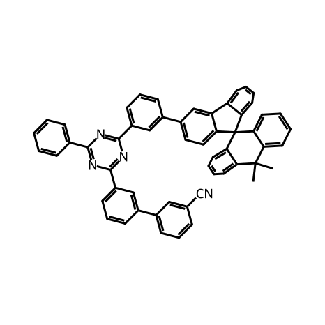 CC1(C)c2ccccc2C2(c3ccccc3-c3cc(-c4cccc(-c5nc(-c6ccccc6)nc(-c6cccc(-c7cccc(C#N)c7)c6)n5)c4)ccc32)c2ccccc21